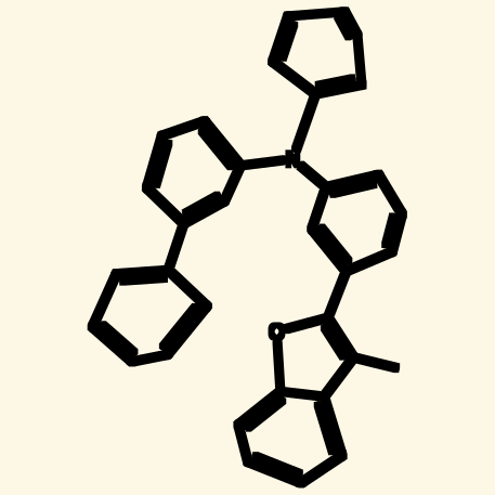 Cc1c(-c2cccc(N(c3ccccc3)c3cccc(-c4ccccc4)c3)c2)oc2ccccc12